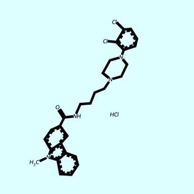 Cl.Cn1c2ccccc2c2cc(C(=O)NCCCCN3CCN(c4cccc(Cl)c4Cl)CC3)ccc21